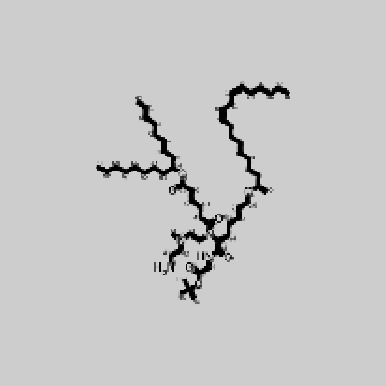 C=C(CCCCCCC/C=C\C/C=C\CCCCC)OCCCCCC(C(=O)NCC(=O)OC(C)(C)C)N(CCN(C)CCN)C(=O)CCCCC(=O)OC(CCCCCCCC)CCCCCCCC